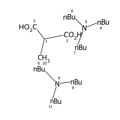 CC(C(=O)O)C(=O)O.CCCCN(CCCC)CCCC.CCCCN(CCCC)CCCC